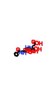 O=C(O)CC[C@H](NP(=O)(O)OOOCCNC(=O)c1ccccc1)C(=O)O